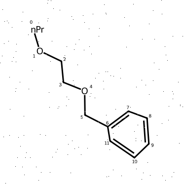 [CH2]CCOCCOCc1ccccc1